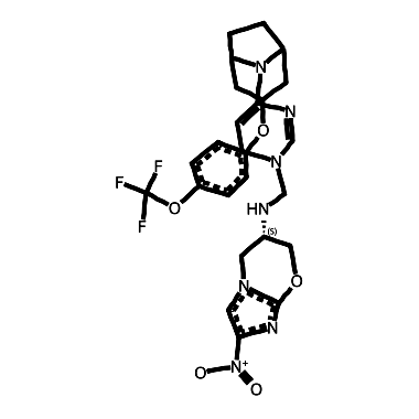 O=[N+]([O-])c1cn2c(n1)OC[C@@H](NCN1C=NC(N3C4CCC3CC(Oc3ccc(OC(F)(F)F)cc3)C4)=CC1)C2